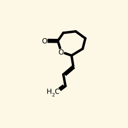 C=CC=CC1CCCCC(=O)O1